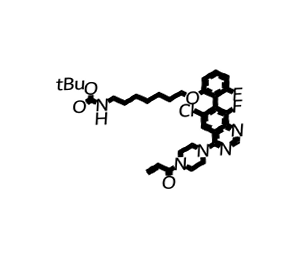 C=CC(=O)N1CCN(c2ncnc3c(F)c(-c4c(F)cccc4OCCCCCCCNC(=O)OC(C)(C)C)c(Cl)cc23)CC1